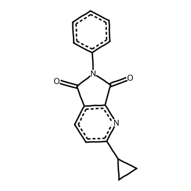 O=C1c2ccc(C3CC3)nc2C(=O)N1c1ccccc1